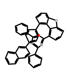 c1ccc(-c2nc(-c3ccccc3)nc(-c3cccc4oc5cccc(-c6ccc(-c7ccc8ccccc8c7)cc6)c5c34)n2)cc1